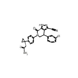 N#Cc1n[nH]c2c1C(c1cccc(Cl)c1)CN(c1ccc(C3(CC(N)=O)CC3)cc1)C2=O